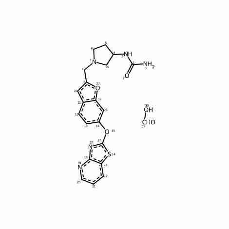 NC(=O)NC1CCN(Cc2cc3ccc(Oc4nc5ncccc5s4)cc3o2)C1.O=CO